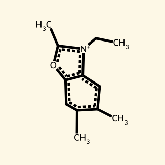 CC[n+]1c(C)oc2cc(C)c(C)cc21